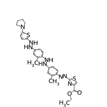 CCOC(=O)c1csc(/N=N/c2ccc(NNc3ccc(NNc4ccc(N5CCCC5)s4)cc3C)cc2C)n1